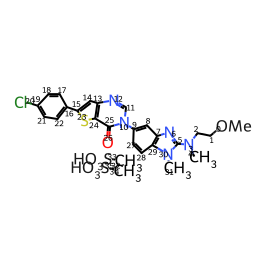 COCCN(C)c1nc2cc(-n3cnc4cc(-c5ccc(Cl)cc5)sc4c3=O)ccc2n1C.CS(=O)(=O)O.CS(=O)(=O)O